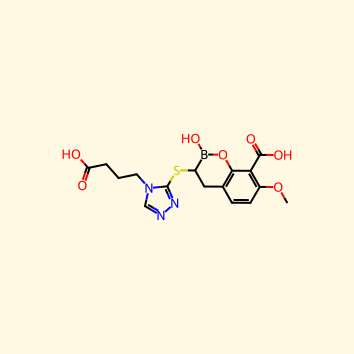 COc1ccc2c(c1C(=O)O)OB(O)C(Sc1nncn1CCCC(=O)O)C2